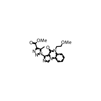 COCCn1c(=O)c2c(-n3nnc(C(=O)OC)c3C)ncn2c2ccccc21